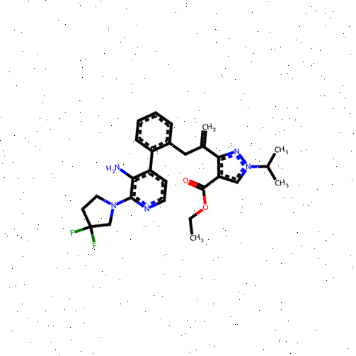 C=C(Cc1ccccc1-c1ccnc(N2CCC(F)(F)C2)c1N)c1nn(C(C)C)cc1C(=O)OCC